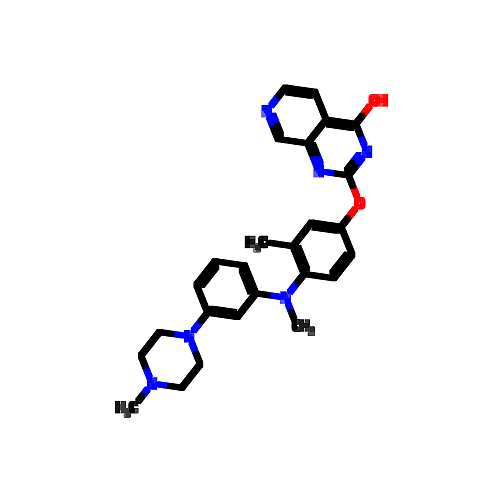 Cc1cc(Oc2nc(O)c3ccncc3n2)ccc1N(C)c1cccc(N2CCN(C)CC2)c1